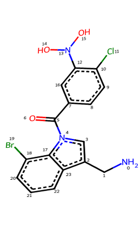 NCc1cn(C(=O)c2ccc(Cl)c(N(O)O)c2)c2c(Br)cccc12